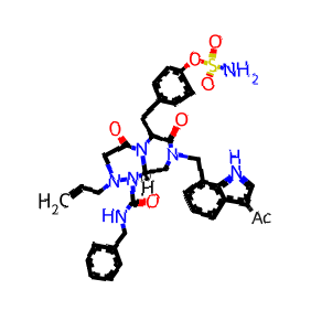 C=CCN1CC(=O)N2C(Cc3ccc(OS(N)(=O)=O)cc3)C(=O)N(Cc3cccc4c(C(C)=O)c[nH]c34)C[C@@H]2N1C(=O)NCc1ccccc1